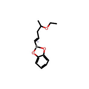 CCOC(C)C/C=C/B1Oc2ccccc2O1